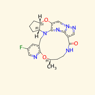 C[C@@H]1CCNC(=O)c2cnn3cc4c(nc23)N(Cc2cc(F)cnc2O1)[C@@H]1CCC[C@@H]1O4